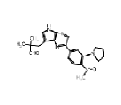 C[S+]([O-])c1ccc(-c2cnc3[nH]cc(CC(C)(C)C=O)c3n2)cc1N1CCCC1